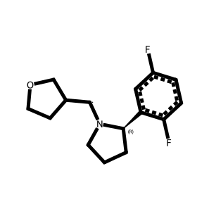 Fc1ccc(F)c([C@H]2CCCN2[CH]C2CCOC2)c1